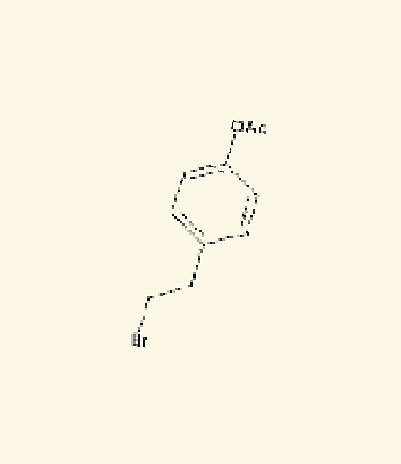 CC(=O)Oc1ccc(CCBr)cc1